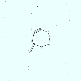 O=C1CC#CCCCC1